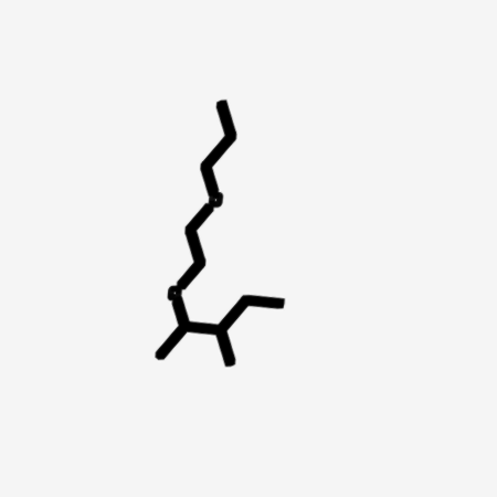 CCCOCCOC(C)C(C)CC